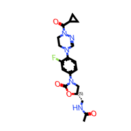 CC(=O)NC[C@H]1CN(c2ccc(N3C=NN(C(=O)C4CC4)CC3)c(F)c2)C(=O)O1